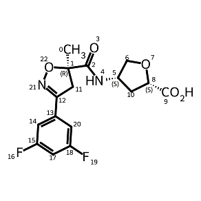 C[C@]1(C(=O)N[C@@H]2CO[C@H](C(=O)O)C2)CC(c2cc(F)cc(F)c2)=NO1